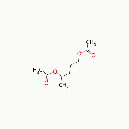 CC(=O)OCCCC(C)OC(C)=O